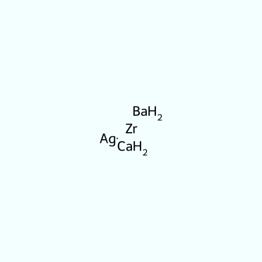 [Ag].[BaH2].[CaH2].[Zr]